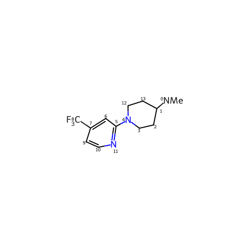 CNC1CCN(c2cc(C(F)(F)F)ccn2)CC1